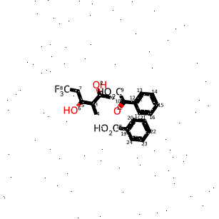 CC(O)C(C)C(O)CC(F)(F)F.O=C(O)C(=O)c1ccccc1.O=C(O)c1ccccc1